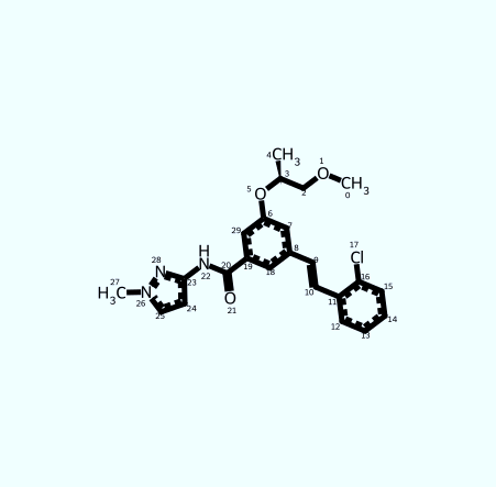 COC[C@H](C)Oc1cc(C=Cc2ccccc2Cl)cc(C(=O)Nc2ccn(C)n2)c1